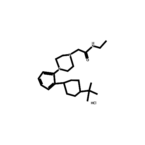 CCNC(=O)CN1CCN(c2ccccc2C2CCC(C(C)(C)C)CC2)CC1.Cl